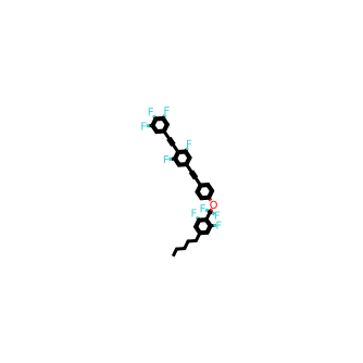 CCCCCc1cc(F)c(C(F)(F)Oc2ccc(C#Cc3cc(F)c(C#Cc4cc(F)c(F)c(F)c4)c(F)c3)cc2)c(F)c1